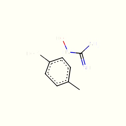 Cc1ccc(S(=O)(=O)O)cc1.N=C(N)NO